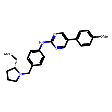 COC[C@H]1CCCN1Cc1ccc(Nc2ncc(-c3ccc(OC)cc3)cn2)cc1